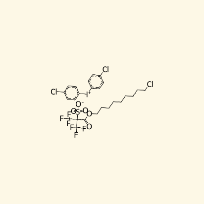 Clc1ccc([I+]c2ccc(Cl)cc2)cc1.O=C(OCCCCCCCCCCl)C(C(F)(F)F)(C(F)(F)F)S(=O)(=O)[O-]